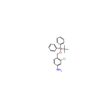 CC(C)(C)[Si](OCc1ccc(N)cc1Cl)(c1ccccc1)c1ccccc1